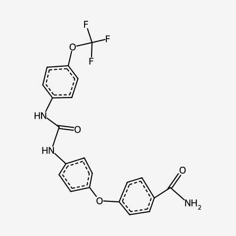 NC(=O)c1ccc(Oc2ccc(NC(=O)Nc3ccc(OC(F)(F)F)cc3)cc2)cc1